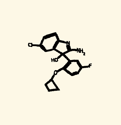 NC1=Nc2ccc(Cl)cc2C1(O)c1cc(F)ccc1OC1CCC1